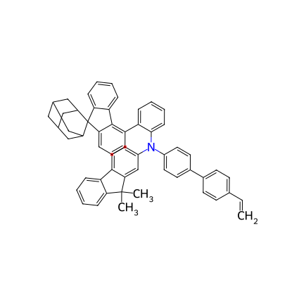 C=Cc1ccc(-c2ccc(N(c3ccc4c(c3)C(C)(C)c3ccccc3-4)c3ccccc3-c3cccc4c3-c3ccccc3C43C4CC5CC(C4)CC3C5)cc2)cc1